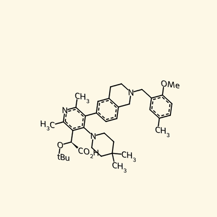 COc1ccc(C)cc1CN1CCc2cc(-c3c(C)nc(C)c([C@H](OC(C)(C)C)C(=O)O)c3N3CCC(C)(C)CC3)ccc2C1